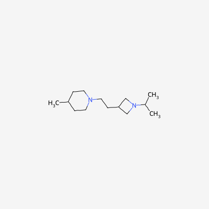 CC1CCN(CCC2CN(C(C)C)C2)CC1